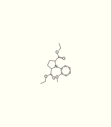 CCOC(=O)C1CCC(C(=O)OCC)N1c1ccccc1OC